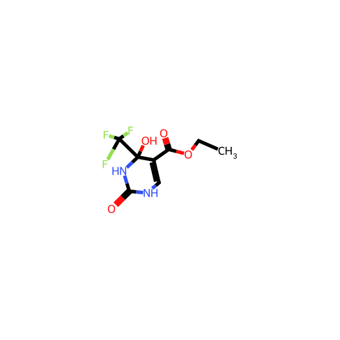 CCOC(=O)C1=CNC(=O)NC1(O)C(F)(F)F